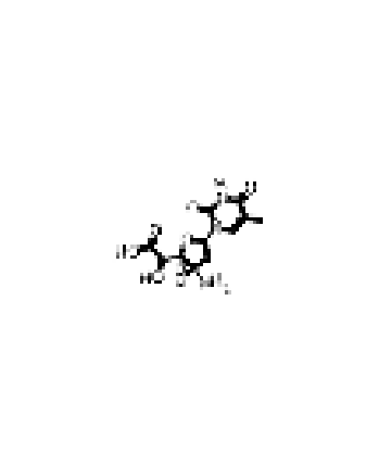 Cc1cn([C@H]2C[C@](N)(O)[C@@H](C(O)C(=O)O)O2)c(=O)[nH]c1=O